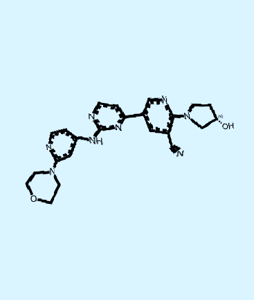 N#Cc1cc(-c2ccnc(Nc3ccnc(N4CCOCC4)c3)n2)cnc1N1CC[C@H](O)C1